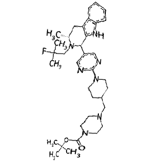 C[C@@H]1Cc2c([nH]c3ccccc23)C(c2cnc(N3CCC(CN4CCN(C(=O)OC(C)(C)C)CC4)CC3)nc2)N1CC(C)(C)F